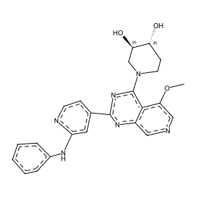 COc1cncc2nc(-c3ccnc(Nc4ccccc4)c3)nc(N3CC[C@@H](O)[C@H](O)C3)c12